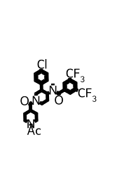 CC(=O)N1CCC(C(=O)N2CCC(N(C)C(=O)c3cc(C(F)(F)F)cc(C(F)(F)F)c3)C(c3ccc(Cl)cc3)C2)CC1